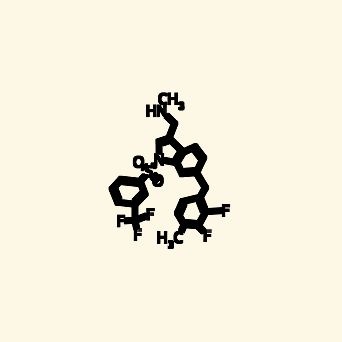 CNCc1cn(S(=O)(=O)c2cccc(C(F)(F)F)c2)c2cc(Cc3ccc(C)c(F)c3F)ccc12